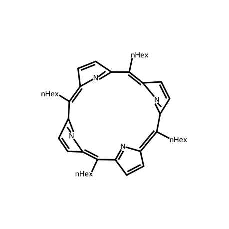 CCCCCCC1=C2C=CC(=N2)C(CCCCCC)=C2C=CC(=N2)C(CCCCCC)=C2C=CC(=N2)C(CCCCCC)=C2C=CC1=N2